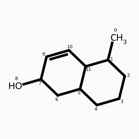 CC1CCCC2CC(O)C=CC12